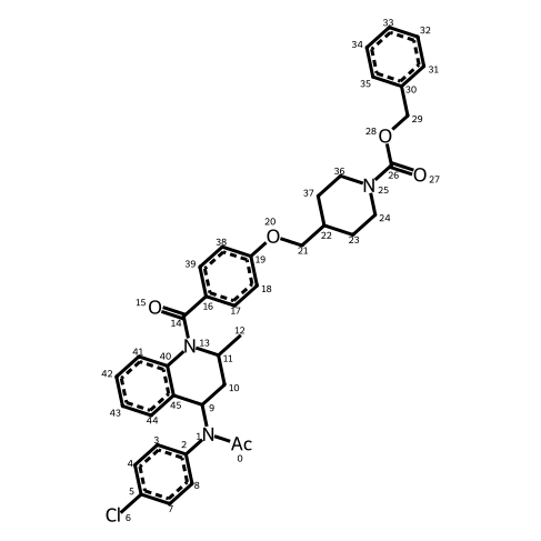 CC(=O)N(c1ccc(Cl)cc1)C1CC(C)N(C(=O)c2ccc(OCC3CCN(C(=O)OCc4ccccc4)CC3)cc2)c2ccccc21